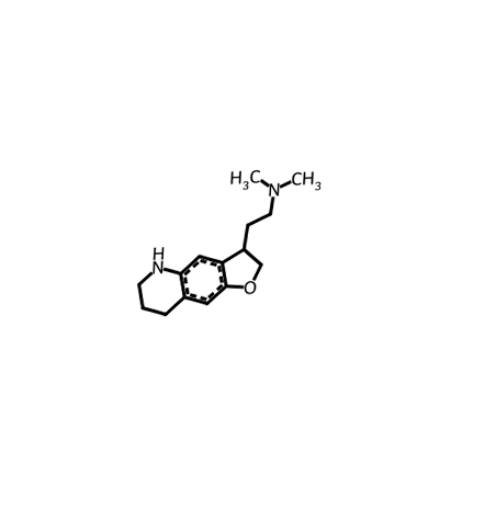 CN(C)CCC1COc2cc3c(cc21)NCCC3